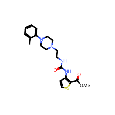 COC(=O)c1sccc1NC(=O)NCCN1CCN(c2ccccc2C)CC1